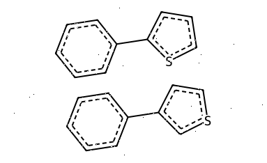 c1ccc(-c2cccs2)cc1.c1ccc(-c2ccsc2)cc1